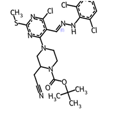 CSc1nc(Cl)c(/C=N/Nc2c(Cl)cccc2Cl)c(N2CCN(C(=O)OC(C)(C)C)C(CC#N)C2)n1